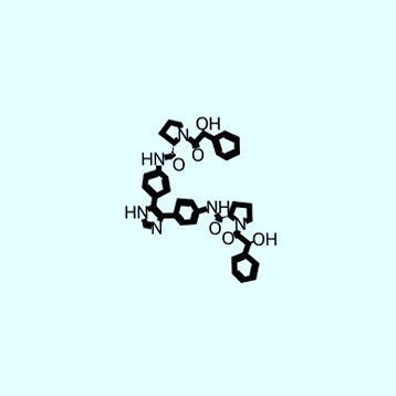 O=C(Nc1ccc(-c2nc[nH]c2-c2ccc(NC(=O)[C@@H]3CCCN3C(=O)[C@H](O)c3ccccc3)cc2)cc1)[C@@H]1CCCN1C(=O)[C@H](O)c1ccccc1